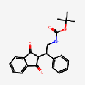 CC(C)(C)OC(=O)NCC(c1ccccc1)C1C(=O)c2ccccc2C1=O